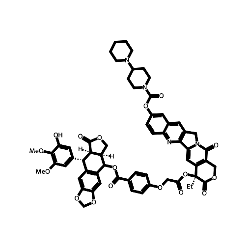 CC[C@@]1(OC(=O)COc2ccc(C(=O)OC3c4cc5c(cc4[C@H](c4cc(O)c(OC)c(OC)c4)[C@H]4C(=O)OC[C@@H]34)OCO5)cc2)C(=O)OCc2c1cc1n(c2=O)Cc2cc3cc(OC(=O)N4CCC(N5CCCCC5)CC4)ccc3nc2-1